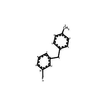 Cc1ccc([CH]c2cccc(F)c2)cc1